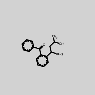 CCCCCCCCC(CC(C)O)c1ccccc1C(=O)c1ccccc1